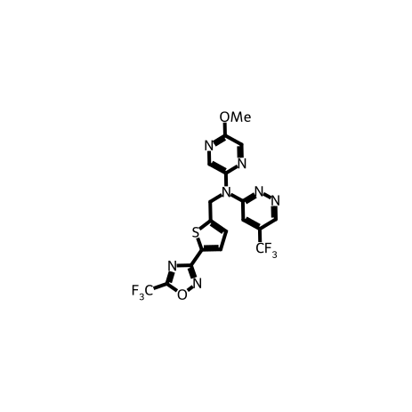 COc1cnc(N(Cc2ccc(-c3noc(C(F)(F)F)n3)s2)c2cc(C(F)(F)F)cnn2)cn1